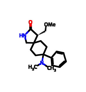 COC[C@H]1C(=O)NCC12CCC(c1ccccc1)(N(C)C)CC2